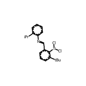 CC(C)c1ccccc1N=Cc1cccc(C(C)(C)C)[c]1[Ti]([Cl])[Cl]